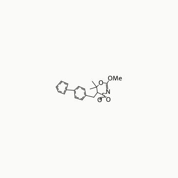 COC1=NS(=O)(=O)C(Cc2ccc(-c3ccccc3)cc2)C(C)(C)O1